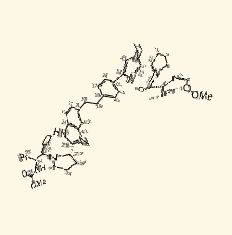 COO/C=N\[C@H](C(=O)N1CCC[C@H]1c1nc(-c2ccc(CCc3ccc4[nH]c([C@@H]5CCCN5C(=O)[C@@H](NC(=O)OC)C(C)C)nc4c3)cc2)c[nH]1)C(C)C